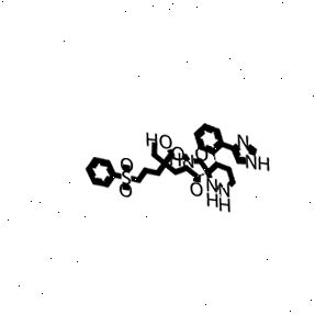 CCC(CCCS(=O)(=O)c1ccccc1)(CCC(=O)[C@@]1(C(=O)NC)NNCC[C@H]1c1ccccc1-c1c[nH]cn1)C(=O)O